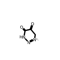 O=C1C[N+]=NNC1=O